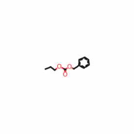 CCCOC(=O)OCc1ccccc1